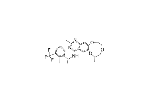 Cc1nc(NC(C)c2cccc(C(F)(F)F)c2C)c2cc3c(cc2n1)OCCOCC(C)O3